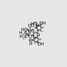 C[N+](C)(C)C[C@H](O)CC(=O)O.Oc1cc(O)c2c(c1)O[C@H](c1ccc(O)c(O)c1)[C@@H](O)C2